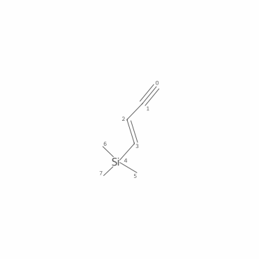 C#CC=C[Si](C)(C)C